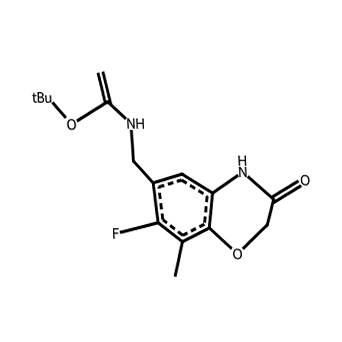 C=C(NCc1cc2c(c(C)c1F)OCC(=O)N2)OC(C)(C)C